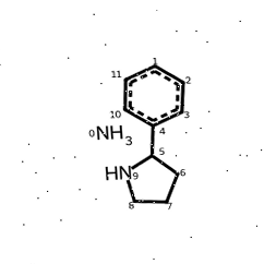 N.c1ccc(C2CCCN2)cc1